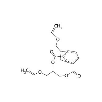 C=COCC1COC(=O)c2ccc3c(c2CC3COC=C)C(=O)O1